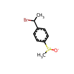 CC(Br)c1ccc([S+](C)[O-])cc1